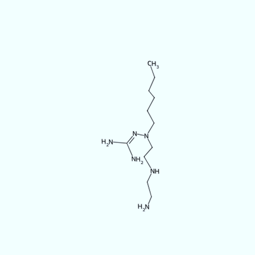 CCCCCCN(CCNCCN)N=C(N)N